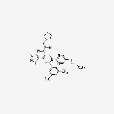 CCN(CC1CCCC1)c1nc2c(cc1CN(c1ncc(OCCSC)cn1)C(C)c1cc(C(F)(F)F)cc(C(F)(F)F)c1)c(C)nn2C